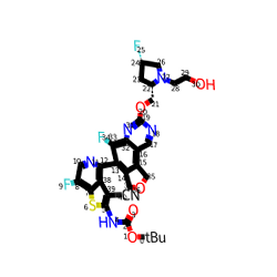 CC(C)(C)OC(=O)Nc1sc2c(F)cnc(-c3c4c(c5cnc(OC[C@@H]6C[C@H](F)CN6CCO)nc5c3F)COC4)c2c1C#N